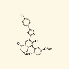 COc1ccc(OC)c(-n2c3c(cc(-c4nc(-c5ccc(Cl)cc5)cs4)c2=O)C(=O)CCC3)c1